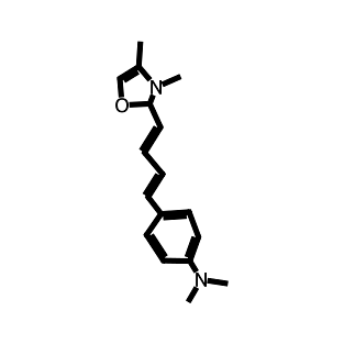 CC1=COC(C=CC=Cc2ccc(N(C)C)cc2)N1C